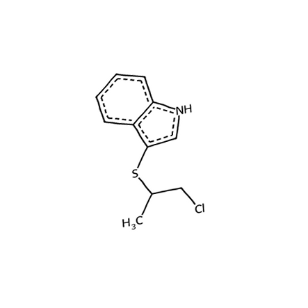 CC(CCl)Sc1c[nH]c2ccccc12